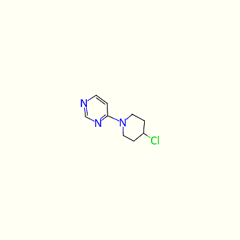 ClC1CCN(c2ccncn2)CC1